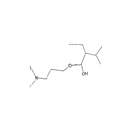 CCC(C(C)C)C(O)OCCCN(C)I